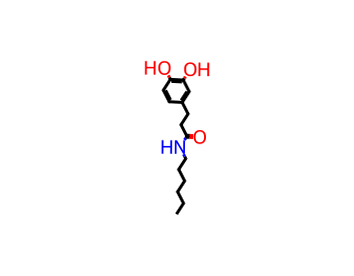 CCCCCCNC(=O)CCc1ccc(O)c(O)c1